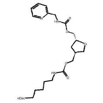 CCCCCCCCCCCCCCCNC(=O)OC[C@@H]1CO[C@@H](COC(=O)NCc2ccccn2)C1